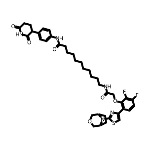 O=C(COc1c(-c2csc(N3C4CCC3COC4)n2)ccc(F)c1F)NCCCCCCCCCCC(=O)Nc1ccc(C2CCC(=O)NC2=O)cc1